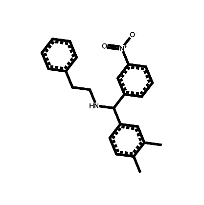 Cc1ccc(C(NCCc2ccccc2)c2cccc([N+](=O)[O-])c2)cc1C